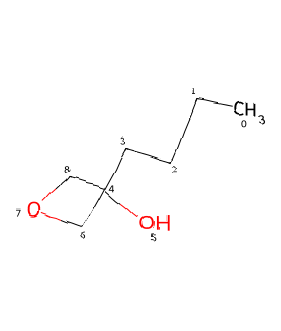 CCCCC1(O)COC1